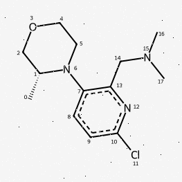 C[C@@H]1COCCN1c1ccc(Cl)nc1CN(C)C